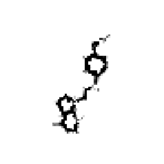 O=Cc1ccc(OCCn2ccc3cccnc32)cc1